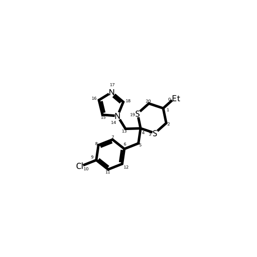 CCC1CSC(Cc2ccc(Cl)cc2)(Cn2ccnc2)SC1